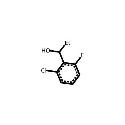 CCC(O)c1c(F)cccc1Cl